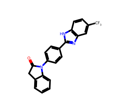 O=C1Cc2ccccc2N1c1ccc(-c2nc3cc(C(F)(F)F)ccc3[nH]2)cc1